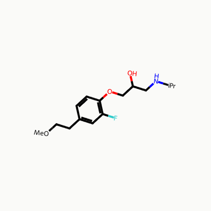 COCCc1ccc(OCC(O)CNC(C)C)c(F)c1